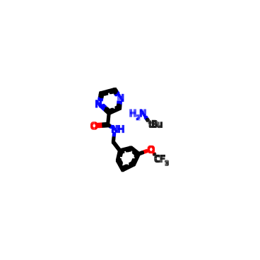 CC(C)(C)N.O=C(NCc1cccc(OC(F)(F)F)c1)c1cnccn1